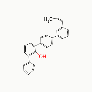 C/C=C\c1cccc(-c2ccc(-c3cccc(-c4ccccc4)c3O)cc2)c1